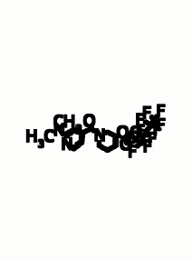 CN(C)c1cc(C(=O)N2CCC=C(OS(=O)(=O)C(F)(F)C(F)(F)C(F)(F)C(F)(F)F)C2)ccn1